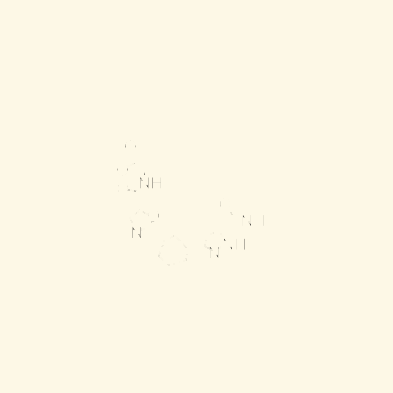 CCOC(=O)[C@H](NC(=O)c1cnc(-c2cccc(-c3cc(C(=O)NC(CC)CC)[nH]n3)c2)o1)C(C)C